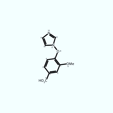 COc1cc(C(=O)O)ccc1On1ccnc1